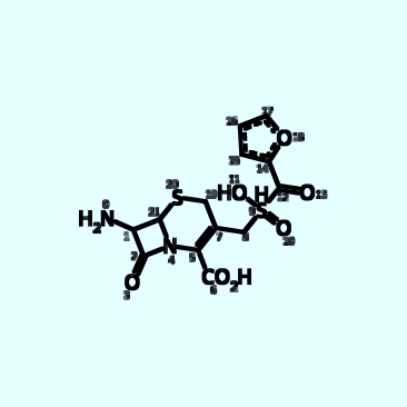 NC1C(=O)N2C(C(=O)O)=C(C[SH](=O)(O)C(=O)c3ccco3)CSC12